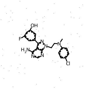 CN(CCn1nc(-c2cc(O)cc(F)c2)c2c(N)ncnc21)c1ccc(Cl)cc1